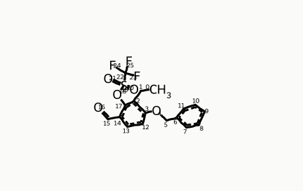 CCc1c(OCc2ccccc2)ccc(C=O)c1OS(=O)(=O)C(F)(F)F